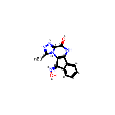 CCCCc1nnc2c(=O)[nH]c3c(n12)/C(=N/O)c1ccccc1-3